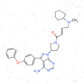 CN(CC=CC(=O)N1CC[C@@H](n2nc(-c3ccc(Oc4ccccc4)cc3)c3c(N)ncnc32)C1)C1CCCCC1